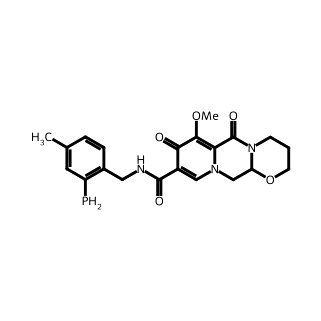 COc1c2n(cc(C(=O)NCc3ccc(C)cc3P)c1=O)CC1OCCCN1C2=O